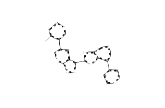 Cc1ccncc1-c1cnc2[nH]nc(-c3nc4c(-c5ccncc5)cncc4[nH]3)c2c1